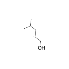 CC(C)C[CH]CO